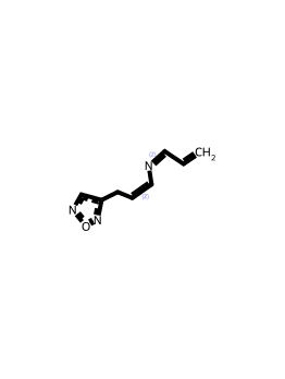 C=C/C=N\C=C/Cc1cnon1